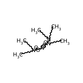 CCCCCCCCCN(CCCCCCCCC)CCN(CCCCCCCCC)CC(=O)N1CCN(CCOC(=O)CN(CCCCCCCCC)CCCCCCCCC)CC1